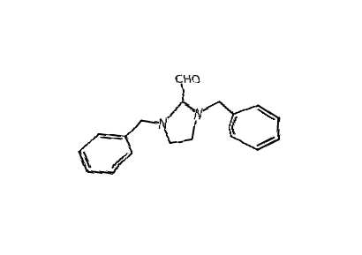 O=CC1N(Cc2ccccc2)CCN1Cc1ccccc1